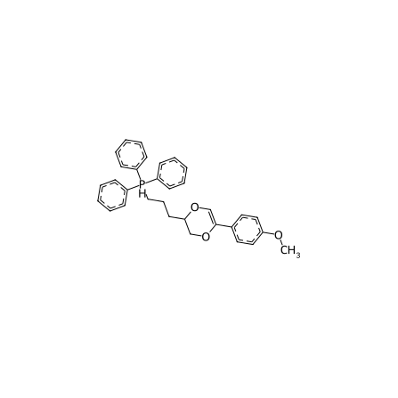 COc1ccc(C2=COC(CCC[PH](c3ccccc3)(c3ccccc3)c3ccccc3)CO2)cc1